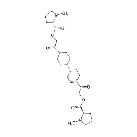 CN1CCC[C@@H]1C(=O)OCC(=O)c1ccc(C2CCC(C(=O)COC(=O)[C@@H]3CCCN3C)CC2)cc1